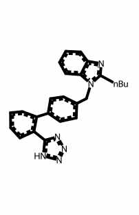 CCCCc1nc2ccccc2n1Cc1ccc(-c2ccccc2-c2nnn[nH]2)cc1